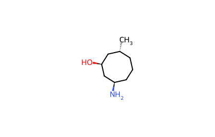 C[C@@H]1CCC[C@@H](N)C[C@@H](O)C1